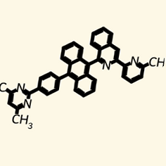 Cc1cccc(-c2cc3ccccc3c(-c3c4ccccc4c(-c4ccc(-c5nc(C)cc(C)n5)cc4)c4ccccc34)n2)n1